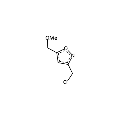 COCc1cc(CCl)no1